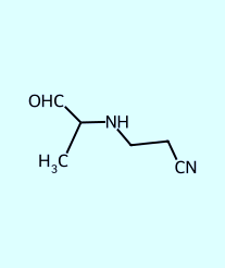 CC(C=O)NCCC#N